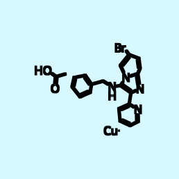 Brc1ccc2nc(-c3ccccn3)c(NCc3ccccc3)n2c1.CC(=O)O.[Cu]